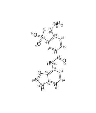 N[C@H]1CS(=O)(=O)c2cc(C(=O)Nc3ccnc4[nH]ncc34)ccc21